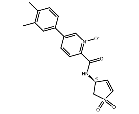 Cc1ccc(-c2ccc(C(=O)N[C@H]3C=CS(=O)(=O)C3)[n+]([O-])c2)cc1C